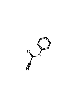 N#CC(=O)Oc1ccccc1